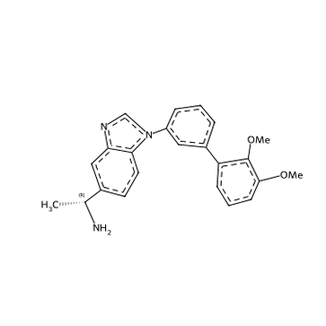 COc1cccc(-c2cccc(-n3cnc4cc([C@@H](C)N)ccc43)c2)c1OC